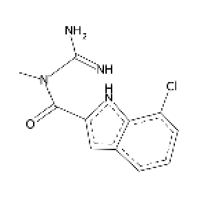 CN(C(=N)N)C(=O)c1cc2cccc(Cl)c2[nH]1